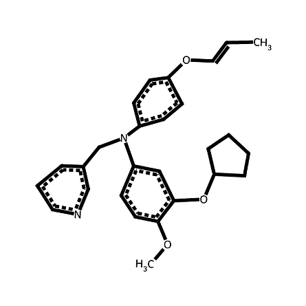 CC=COc1ccc(N(Cc2cccnc2)c2ccc(OC)c(OC3CCCC3)c2)cc1